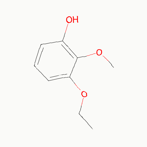 CCOc1cccc(O)c1OC